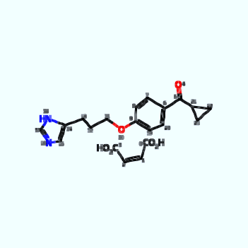 O=C(O)/C=C\C(=O)O.O=C(c1ccc(OCCCc2cnc[nH]2)cc1)C1CC1